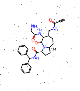 C#CC(=O)NC[C@H]1CC[C@H]2CC[C@@H](C(=O)NC(c3ccccc3)c3ccccc3)N2C(=O)[C@H]1NC(=O)[C@H](C)N